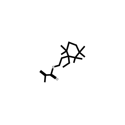 C=C(C)C(=O)OCCC1(CC)C(C)(C)CCC(C)(C)C1(C)C